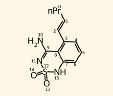 CCC/C=C/c1cccc2c1C(N)=NS(=O)(=O)N2